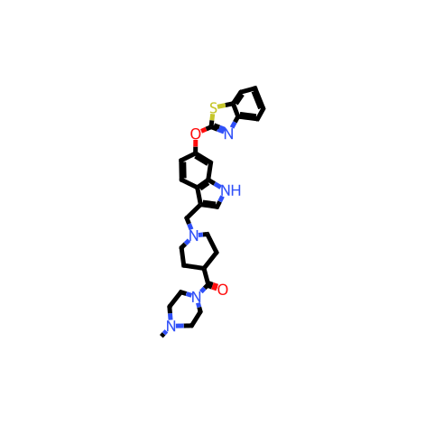 CN1CCN(C(=O)C2CCN(Cc3c[nH]c4cc(Oc5nc6ccccc6s5)ccc34)CC2)CC1